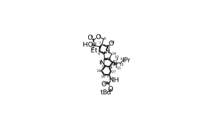 CC[C@@]1(O)C(=O)OCc2c1cc1n(c2=O)Cc2c-1nc1ccc(NC(=O)OC(C)(C)C)cc1c2[Si](C)(C)CC(C)C